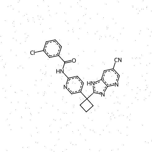 N#Cc1cnc2nc(C3(c4ccc(NC(=O)c5cccc(Cl)c5)nc4)CCC3)[nH]c2c1